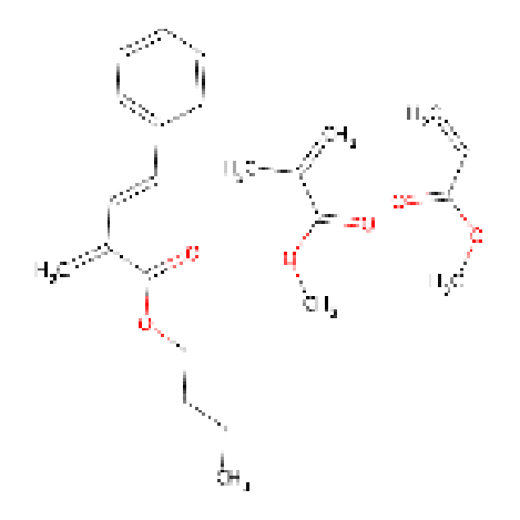 C=C(C)C(=O)OC.C=C(C=Cc1ccccc1)C(=O)OCCCC.C=CC(=O)OC